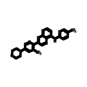 FC(F)(F)c1ccc(Nc2ccnc3nc(-c4nnc(N5CCOCC5)cc4C(F)(F)F)cnc23)nc1